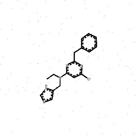 CCN(Cc1cnc[nH]1)c1cc(Cl)nc(Cc2ccccc2)n1